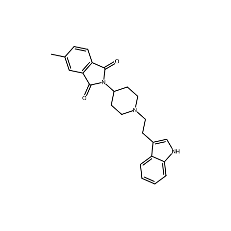 Cc1ccc2c(c1)C(=O)N(C1CCN(CCc3c[nH]c4ccccc34)CC1)C2=O